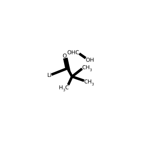 O=CO.[Li][C](=O)C(C)(C)C